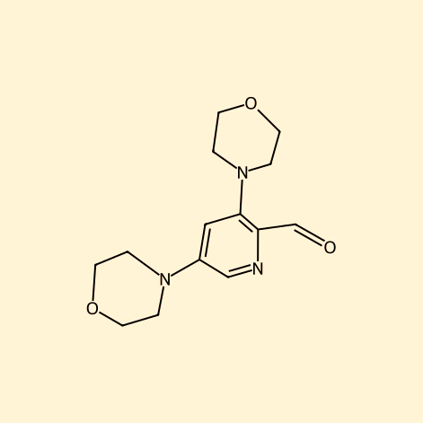 O=Cc1ncc(N2CCOCC2)cc1N1CCOCC1